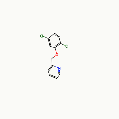 Clc1c[c]c(Cl)c(OCc2ccccn2)c1